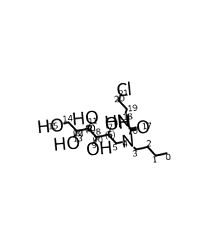 CCCCN(C[C@H](O)[C@@H](O)[C@H](O)[C@H](O)CO)C(=O)NCCCl